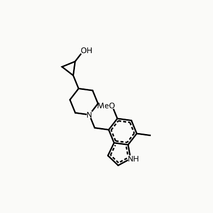 COc1cc(C)c2[nH]ccc2c1CN1CCC(C2CC2O)CC1